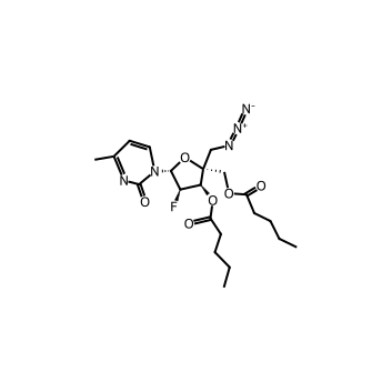 CCCCC(=O)OC[C@@]1(CN=[N+]=[N-])O[C@@H](n2ccc(C)nc2=O)[C@H](F)[C@@H]1OC(=O)CCCC